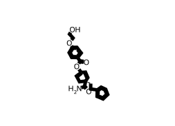 NC(=O)[C@]1(CCc2ccccc2)C=CC(OC(=O)c2ccc(OCCO)cc2)=CC1